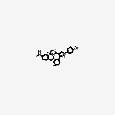 CNc1ccc(CCN2C(=O)COC2c2cn(-c3ccc(Br)cc3)nc2-c2ccc(F)cc2)cc1